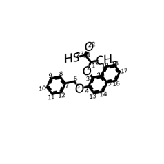 CC(Oc1c(OCc2ccccc2)ccc2ccccc12)C(=O)S